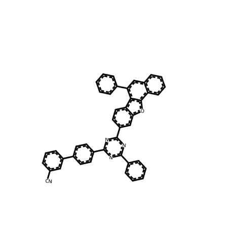 N#Cc1cccc(-c2ccc(-c3nc(-c4ccccc4)nc(-c4ccc5c(c4)oc4c6ccccc6cc(-c6ccccc6)c54)n3)cc2)c1